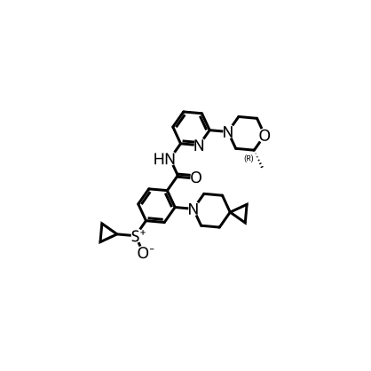 C[C@@H]1CN(c2cccc(NC(=O)c3ccc([S+]([O-])C4CC4)cc3N3CCC4(CC3)CC4)n2)CCO1